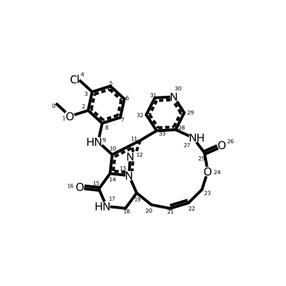 COc1c(Cl)cccc1Nc1c2nn3c1C(=O)NCC3C/C=C\COC(=O)Nc1cnccc1-2